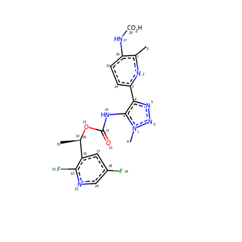 Cc1nc(-c2nnn(C)c2NC(=O)O[C@H](C)c2cc(F)cnc2F)ccc1NC(=O)O